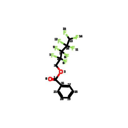 O=C(OCC(F)(F)C(F)(F)C(F)(F)C(F)F)c1ccccc1